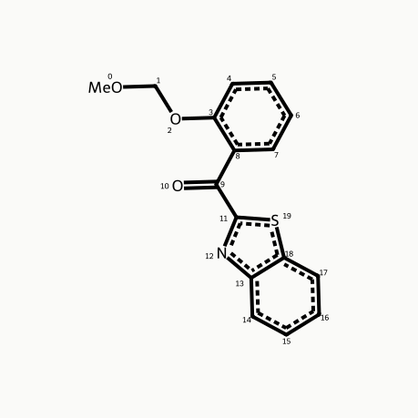 COCOc1ccccc1C(=O)c1nc2ccccc2s1